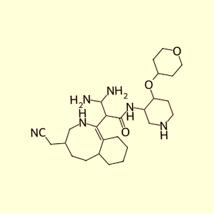 N#CCC1CCC2CCCC/C2=C(\C(C(=O)NC2CNCCC2OC2CCOCC2)C(N)N)NC1